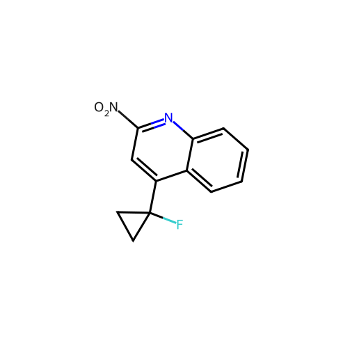 O=[N+]([O-])c1cc(C2(F)CC2)c2ccccc2n1